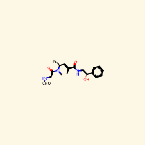 C/C(=C\[C@H](C(C)C)N(C)C(=O)CNC=O)C(=O)NC[C@@H](O)c1ccccc1